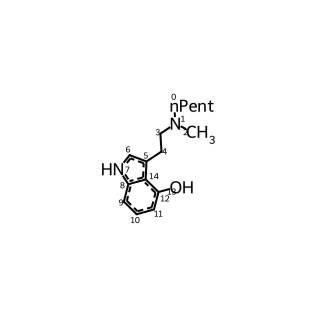 CCCCCN(C)CCc1c[nH]c2cccc(O)c12